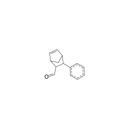 O=CC1C2C=CC(C2)C1c1ccccc1